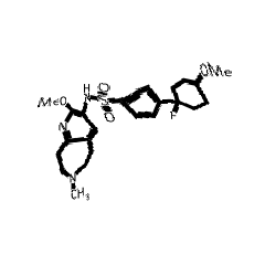 COc1nc2c(cc1NS(=O)(=O)c1ccc(C3(F)CCC(OC)CC3)cc1)CCN(C)CC2